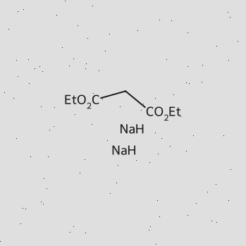 CCOC(=O)CC(=O)OCC.[NaH].[NaH]